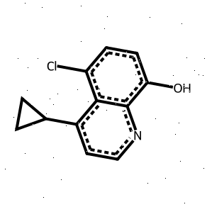 Oc1ccc(Cl)c2c(C3CC3)ccnc12